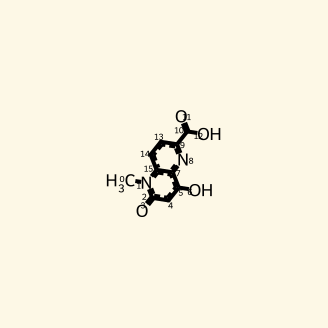 Cn1c(=O)cc(O)c2nc(C(=O)O)ccc21